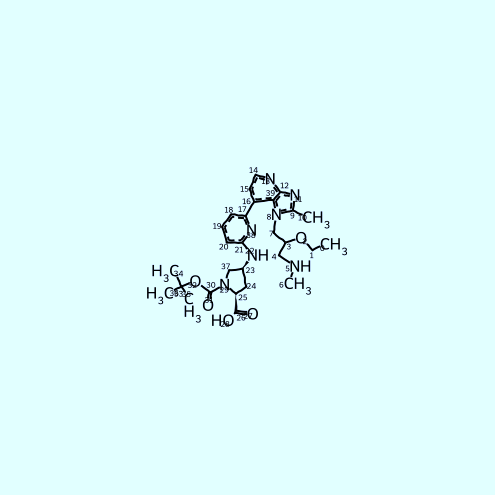 CCOC(CNC)Cn1c(C)nc2nccc(-c3cccc(N[C@H]4C[C@@H](C(=O)O)N(C(=O)OC(C)(C)C)C4)n3)c21